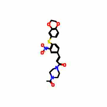 CC(=O)N1CCN(C(=O)C=Cc2ccc(Sc3ccc4c(c3)OCCO4)c([N+](=O)[O-])c2)CC1